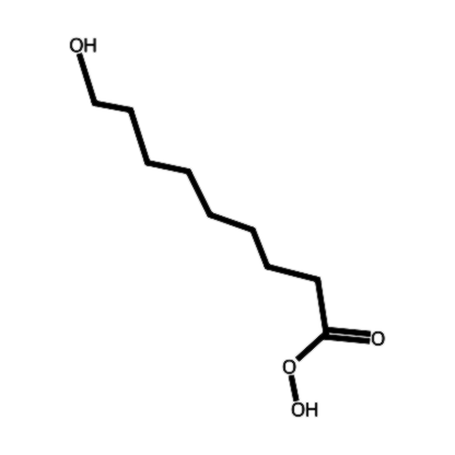 O=C(CCCCCCCCO)OO